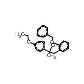 CCOc1ccc(C(C)(C)Cc2ccccc2OCc2ccccc2)cc1